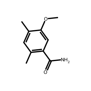 COc1cc(C(N)=O)c(C)cc1C